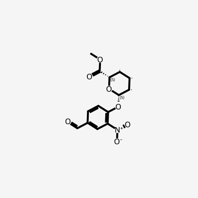 COC(=O)[C@@H]1[CH][CH][CH][C@H](Oc2ccc(C=O)cc2[N+](=O)[O-])O1